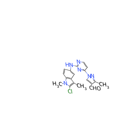 Cc1nn(-c2ccnc(Nc3ccc4c(c3)c(C)c(Cl)n4C)n2)cc1C=O